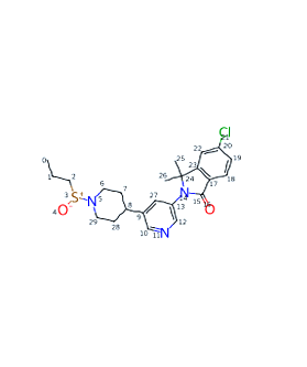 CCC[S+]([O-])N1CCC(c2cncc(N3C(=O)c4ccc(Cl)cc4C3(C)C)c2)CC1